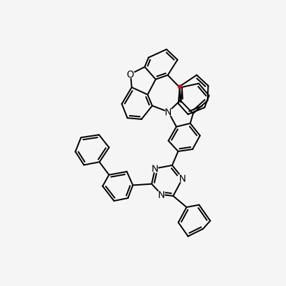 c1ccc(-c2cccc(-c3nc(-c4ccccc4)nc(-c4ccc5c6ccccc6n(-c6cccc7oc8cccc(-c9ccccc9)c8c67)c5c4)n3)c2)cc1